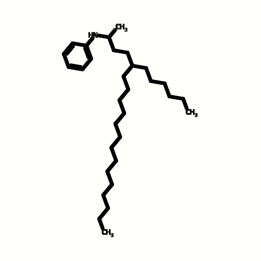 CCCCCCCCCCCCCCC(CCCCCC)CCC(C)Nc1ccccc1